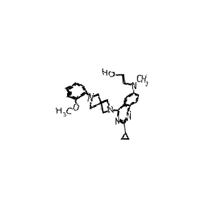 COc1ccccc1N1CC2(C1)CN(c1nc(C3CC3)nc3ccc(N(C)CCO)cc13)C2